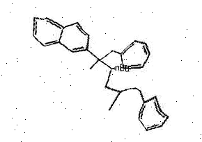 CCCC[C](CC(C)Cc1ccccc1)C(C)(Cc1ccccc1)c1ccc2ccccc2c1